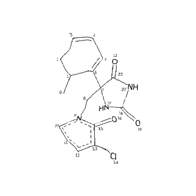 CC1CC=CC=C1C1(Cn2cccc(Cl)c2=O)NC(=O)NC1=O